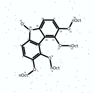 CCCCCCCCOc1ccc2c(c1OCCCCCCCC)c1c(OCCCCCCCC)c(OCCCCCCCC)ccc1[s+]2[O-]